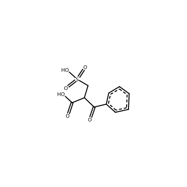 O=C(O)C(CS(=O)(=O)O)C(=O)c1ccccc1